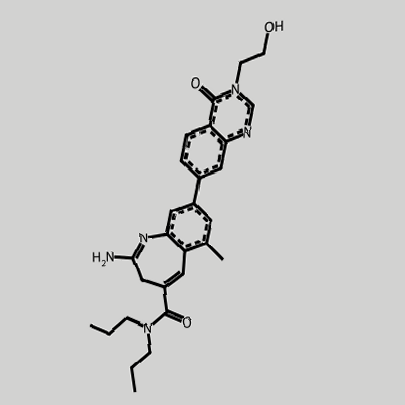 CCCN(CCC)C(=O)C1=Cc2c(C)cc(-c3ccc4c(=O)n(CCO)cnc4c3)cc2N=C(N)C1